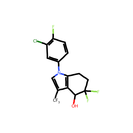 OC1c2c(C(F)(F)F)cn(-c3ccc(F)c(Cl)c3)c2CCC1(F)F